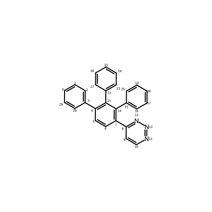 c1ccc(-c2ccc(-c3ccnnn3)c(-c3ccccc3)c2-c2ccccc2)cc1